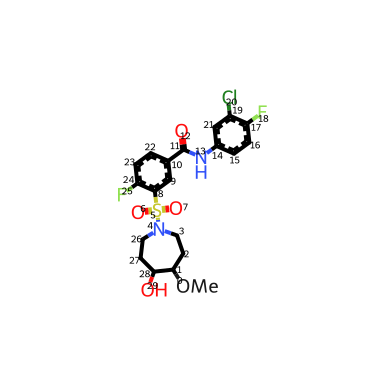 COC1CCN(S(=O)(=O)c2cc(C(=O)Nc3ccc(F)c(Cl)c3)ccc2F)CCC1O